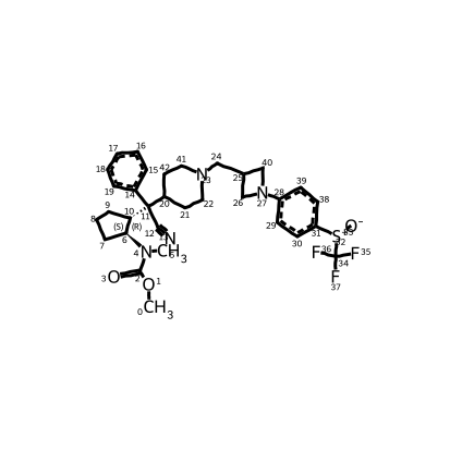 COC(=O)N(C)[C@H]1CCC[C@@H]1C(C#N)(c1ccccc1)C1CCN(CC2CN(c3ccc([S+]([O-])C(F)(F)F)cc3)C2)CC1